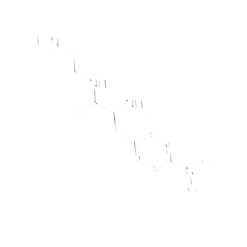 NCCNC(=O)C(N)Cc1ccc([N+](=O)[O-])cc1